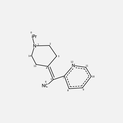 CC(C)N1CCC(=C(C#N)c2ccccn2)CC1